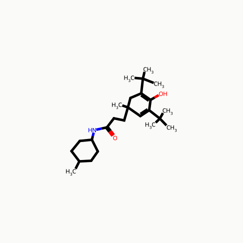 CC1CCC(NC(=O)CCC2(C)C=C(C(C)(C)C)C(O)=C(C(C)(C)C)C2)CC1